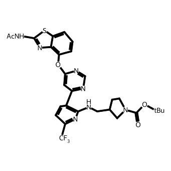 CC(=O)Nc1nc2c(Oc3cc(-c4ccc(C(F)(F)F)nc4NCC4CCN(C(=O)OC(C)(C)C)C4)ncn3)cccc2s1